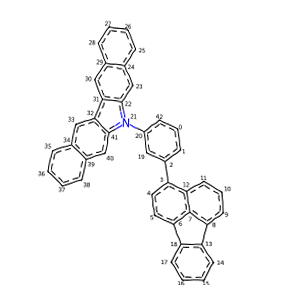 c1cc(-c2ccc3c4c(cccc24)-c2ccccc2-3)cc(-n2c3cc4ccccc4cc3c3cc4ccccc4cc32)c1